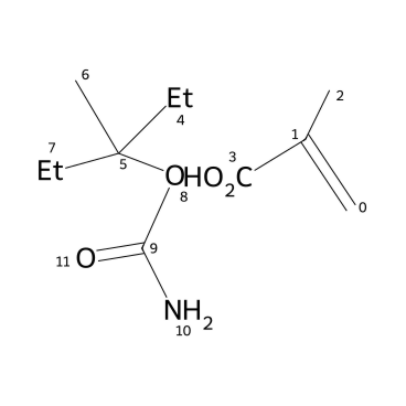 C=C(C)C(=O)O.CCC(C)(CC)OC(N)=O